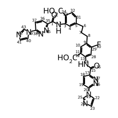 O=C(Nc1cc(CCCc2cc(C(=O)O)c(NC(=O)c3ccc(-n4ccnc4)nn3)cc2F)ccc1C(=O)O)c1ccc(-n2ccnc2)nn1